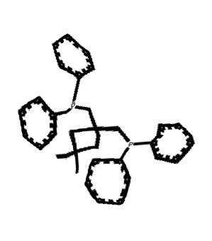 CC1(C)CC(CP(c2ccccc2)c2ccccc2)(CP(c2ccccc2)c2ccccc2)C1